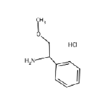 COCC(N)c1ccccc1.Cl